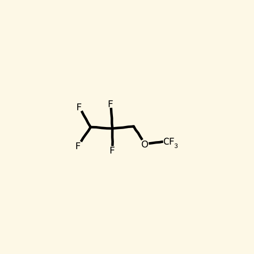 FC(F)C(F)(F)COC(F)(F)F